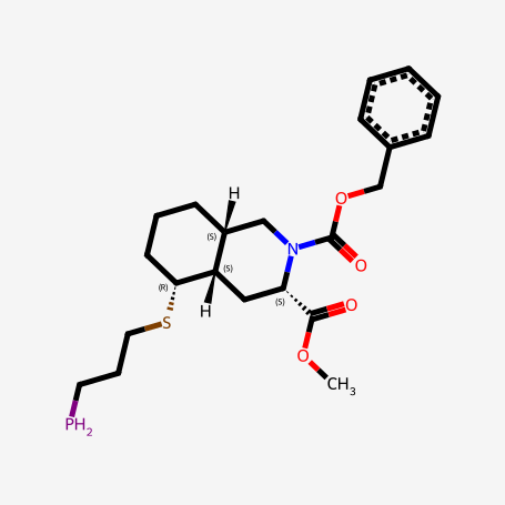 COC(=O)[C@@H]1C[C@H]2[C@H](CCC[C@H]2SCCCP)CN1C(=O)OCc1ccccc1